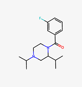 CC(C)C1CN(C(C)C)CCN1C(=O)c1cccc(F)c1